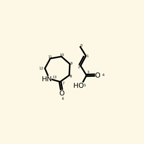 CC=CC(=O)O.O=C1CCCCCN1